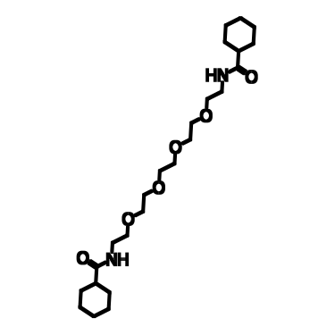 O=C(NCCOCCOCCOCCOCCNC(=O)C1CCCCC1)C1CCCCC1